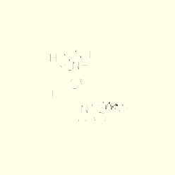 COc1cccc(C(=O)N2CCC(c3ccc(C(=O)NC(=N)N)cc3C(F)(F)F)CC2)c1OC